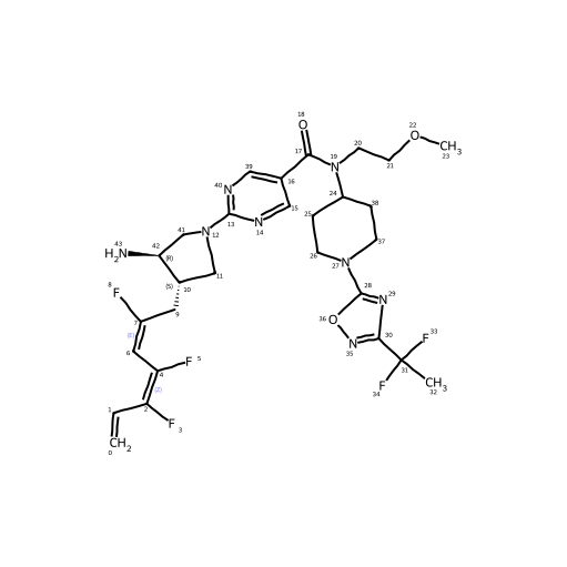 C=C/C(F)=C(F)\C=C(\F)C[C@H]1CN(c2ncc(C(=O)N(CCOC)C3CCN(c4nc(C(C)(F)F)no4)CC3)cn2)C[C@@H]1N